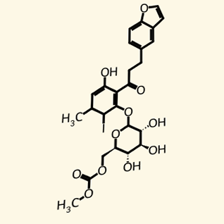 COC(=O)OC[C@H]1OC(OC2=C(C(=O)CCc3ccc4occc4c3)C(O)=CC(C)C2I)[C@H](O)[C@@H](O)[C@@H]1O